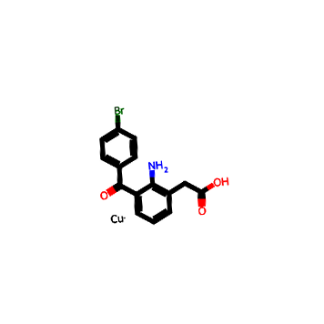 Nc1c(CC(=O)O)cccc1C(=O)c1ccc(Br)cc1.[Cu]